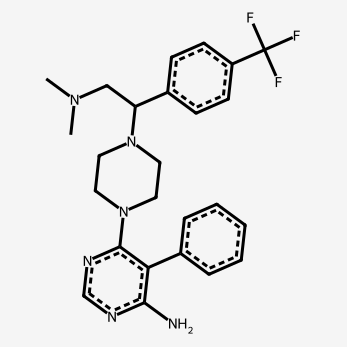 CN(C)CC(c1ccc(C(F)(F)F)cc1)N1CCN(c2ncnc(N)c2-c2ccccc2)CC1